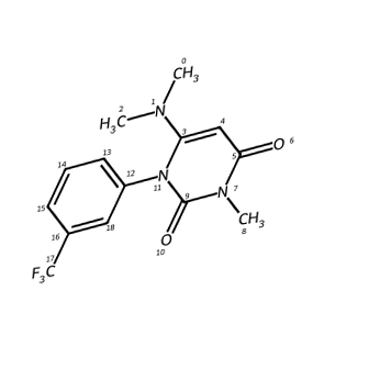 CN(C)c1cc(=O)n(C)c(=O)n1-c1cccc(C(F)(F)F)c1